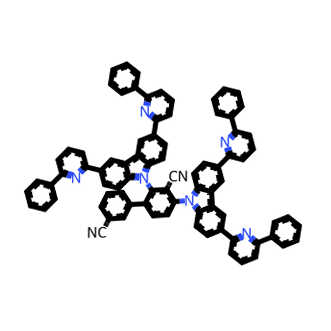 N#Cc1cccc(-c2ccc(-n3c4ccc(-c5cccc(-c6ccccc6)n5)cc4c4cc(-c5cccc(-c6ccccc6)n5)ccc43)c(C#N)c2-n2c3ccc(-c4cccc(-c5ccccc5)n4)cc3c3cc(-c4cccc(-c5ccccc5)n4)ccc32)c1